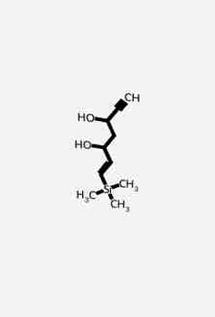 C#CC(O)CC(O)/C=C/[Si](C)(C)C